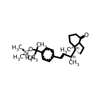 C[C@H](C=Cc1ccc(C(C)(C)O[Si](C)(C)C)cc1)[C@H]1CCC2C(=O)CCC[C@@]21C